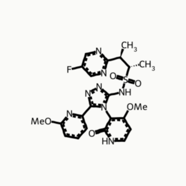 COc1cccc(-c2nnc(NS(=O)(=O)[C@@H](C)[C@H](C)c3ncc(F)cn3)n2-c2c(OC)cc[nH]c2=O)n1